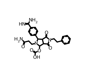 N=C(N)c1ccc(C2C3C(=O)N(CCc4ccccc4)C(=O)C3C(OC(=O)O)N2CCC(N)=O)cc1